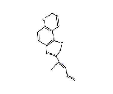 C=C/C=C(\C)C1=Cc2ccc3c(c2OC1)C=CCO3